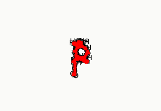 CC(C)[C@H](NC(=O)CCOCCOCCOCCN1C(=O)C=CC1=O)C(=O)N[C@@H](C)C(=O)Nc1ccc(COc2cc3ccccc3nc2C(=O)N[C@@H]2CNC(=O)[C@H](C(C)C)N(C)C(=O)CN(C)C(=O)CNC(=O)[C@@H]3CCCCN3C(=O)[C@H](NC(=O)c3nc4ccccc4cc3O[C@@H]3O[C@H](C(=O)O)[C@@H](O)[C@H](O)[C@H]3O)CNC(=O)[C@H](C(C)C)N(C)C(=O)CN(C)C(=O)CNC(=O)[C@@H]3CCCCN3C2=O)cc1